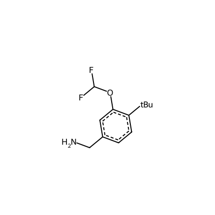 CC(C)(C)c1ccc(CN)cc1OC(F)F